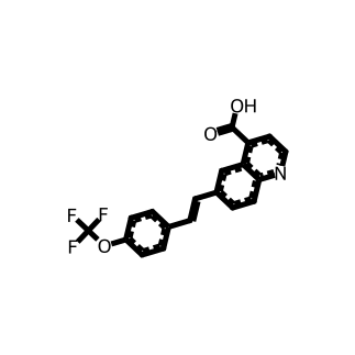 O=C(O)c1ccnc2ccc(/C=C/c3ccc(OC(F)(F)F)cc3)cc12